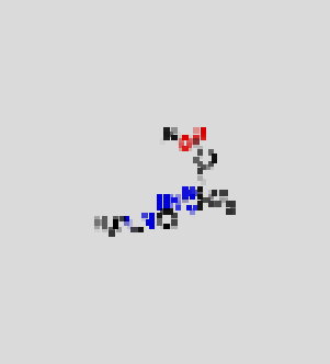 CN1CCN(c2cccc(Nc3ncc(C(F)(F)F)c(CCc4cccc(C(=O)OC(C)(C)C)c4)n3)c2)CC1